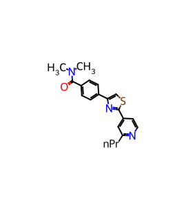 CCCc1cc(-c2nc(-c3ccc(C(=O)N(C)C)cc3)cs2)ccn1